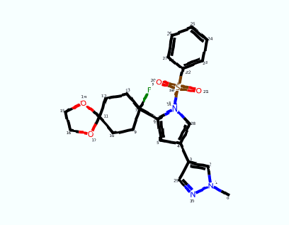 Cn1cc(-c2cc(C3(F)CCC4(CC3)OCCO4)n(S(=O)(=O)c3ccccc3)c2)cn1